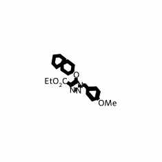 CCOC(=O)c1nnn(Cc2ccc(OC)cc2)c1OC1CCC2(CCCCC2)CC1